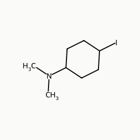 CN(C)C1CCC(I)CC1